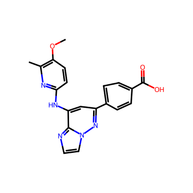 COc1ccc(Nc2cc(-c3ccc(C(=O)O)cc3)nn3ccnc23)nc1C